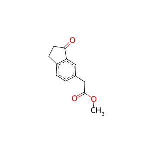 COC(=O)Cc1ccc2c(c1)C(=O)CC2